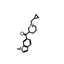 Cn1ccc2ccc(C(=O)C3CCCN(CC4CC4)C3)cc21